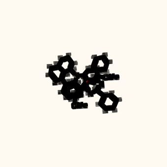 COc1ccc2c(c1)c1cc(OC)ccc1n2-c1cccc2cccc(-c3cccc(-c4nc(-c5ccccc5)nc(-c5ccccc5)n4)c3)c12